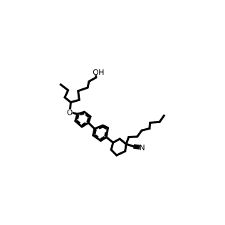 CCCCCCCC1(C#N)CCCC(c2ccc(-c3ccc(OC(CCC)CCCCCO)cc3)cc2)C1